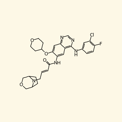 O=C(/C=C/CN1C2CCC1COC2)Nc1cc2c(Nc3ccc(F)c(Cl)c3)ncnc2cc1OC1CCOCC1